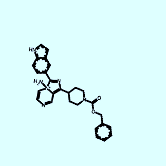 N[N+]12C=CN=CC1=C(C1CCN(C(=O)OCc3ccccc3)CC1)N=C2c1ccc2[nH]ccc2c1